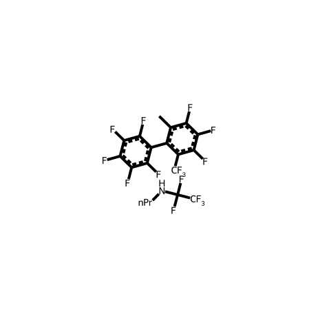 CCCNC(F)(F)C(F)(F)F.Cc1c(F)c(F)c(F)c(C(F)(F)F)c1-c1c(F)c(F)c(F)c(F)c1F